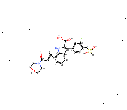 C/C(=C\C(=O)N1CCOCC1)c1cccc2c(-c3ccc(CS(C)(=O)=O)c(F)c3)c(C(=O)O)[nH]c12